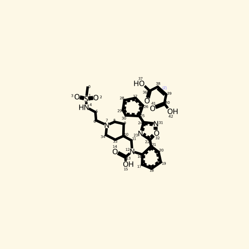 CS(=O)(=O)NCCN1CCC(CN(C(=O)O)c2ccccc2-c2nc(-c3ccccc3)no2)CC1.O=C(O)/C=C\C(=O)O